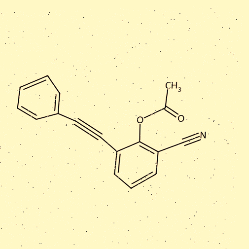 CC(=O)Oc1c(C#N)cccc1C#Cc1ccccc1